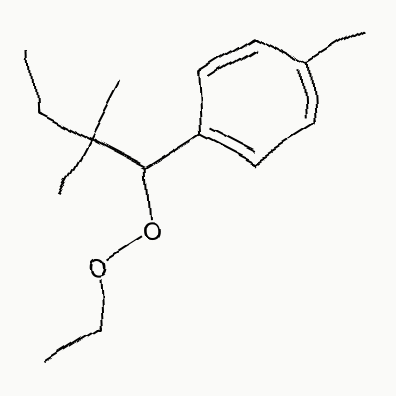 CCOOC(c1ccc(C)cc1)C(C)(C)CC